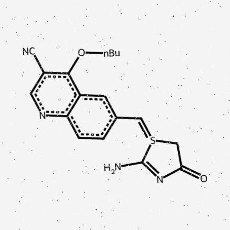 CCCCOc1c(C#N)cnc2ccc(/C=S3/CC(=O)N=C3N)cc12